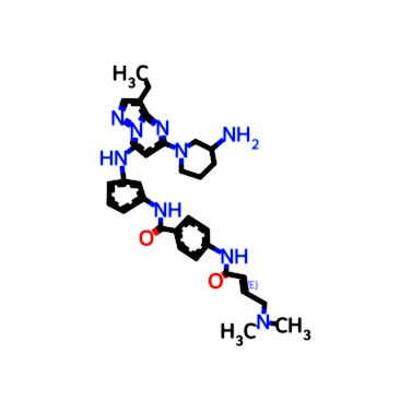 CCc1cnn2c(Nc3cccc(NC(=O)c4ccc(NC(=O)/C=C/CN(C)C)cc4)c3)cc(N3CCCC(N)C3)nc12